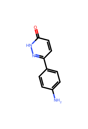 Nc1ccc(-c2ccc(=O)[nH]n2)cc1